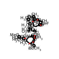 CC[C@H](C)[C@H]1O[C@]2(C=C[C@@H]1C)C[C@@H]1C[C@@H](C/C=C(\C)[C@@H](O[C@H]3C[C@H](OC)[C@@H](O[C@H]4C[C@H](OC)[C@@H](O)[C@H](C)O4)[C@H](C)O3)[C@@H](C)/C=C/C=C3\CO[C@@H]4[C@H](O)C(C)=C[C@@H](C(=O)O1)[C@]34O)O2.CN1COCN(Cc2cnc(Cl)s2)/C1=N/[N+](=O)[O-].CO[C@H]1C[C@H](O[C@H]2[C@H](C)O[C@@H](O[C@@H]3/C(C)=C/C[C@@H]4C[C@@H](C[C@]5(C=C[C@H](C)[C@@H](C(C)C)O5)O4)OC(=O)[C@@H]4C=C(C)[C@@H](O)[C@H]5OC/C(=C\C=C\[C@@H]3C)[C@]54O)C[C@@H]2OC)O[C@@H](C)[C@@H]1O